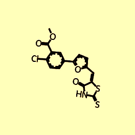 COC(=O)c1cc(-c2ccc(C=C3SC(=S)NC3=O)o2)ccc1Cl